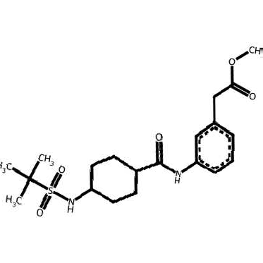 COC(=O)Cc1cccc(NC(=O)C2CCC(NS(=O)(=O)C(C)(C)C)CC2)c1